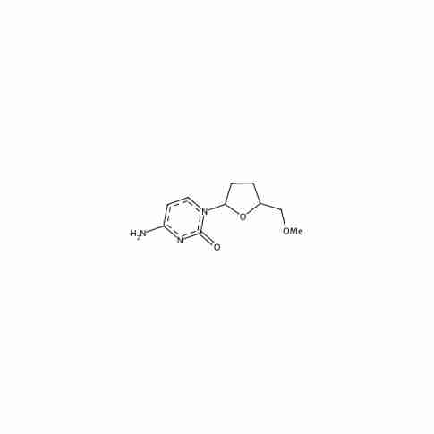 COCC1CCC(n2ccc(N)nc2=O)O1